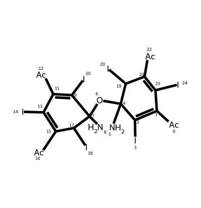 CC(=O)C1=C(I)C(N)(OC2(N)C(I)=C(C(C)=O)C(I)=C(C(C)=O)C2I)C(I)C(C(C)=O)=C1I